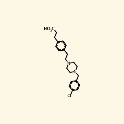 O=C(O)CCc1ccc(CCN2CCN(Cc3ccc(Cl)cc3)CC2)cc1